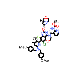 COc1ccc(CN(Cc2ccc(OC)cc2)c2cc(C)c(C(F)(F)F)c(-c3c(Cl)c4c5c(nc(OC[C@@H]6C[C@H]7COCCN76)nc5c3F)N([C@H](C)c3cccnc3NC(=O)OC(C)(C)C)CCO4)n2)cc1